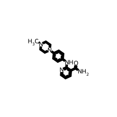 CN1CCN(c2ccc(Nc3ncccc3C(N)=O)cc2)CC1